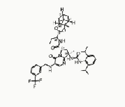 CC[C@H](NC(=O)[C@@H]1C[C@@](C)(NC(=O)Nc2c(C(C)C)cccc2C(C)C)c2ncc(NCc3cccc(C(F)(F)F)c3)c(=O)n21)B1O[C@@H]2C[C@@H]3C[C@@H](C3(C)C)[C@]2(C)O1